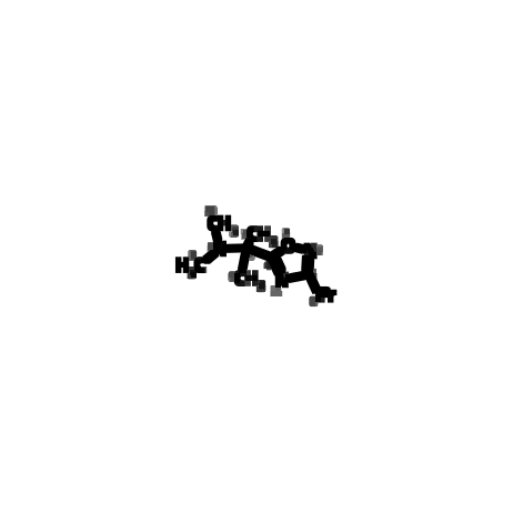 CC(C)c1noc(C(C)(C)N(C)C)n1